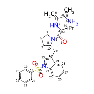 C=C(N[C@H](C(=O)N1CCC[C@H]1Cc1cn(S(=O)(=O)c2ccccc2)c2ccccc12)C(C)C)[C@H](C)N